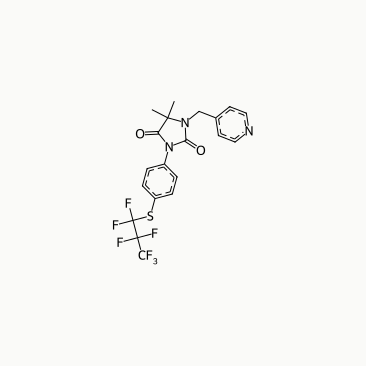 CC1(C)C(=O)N(c2ccc(SC(F)(F)C(F)(F)C(F)(F)F)cc2)C(=O)N1Cc1ccncc1